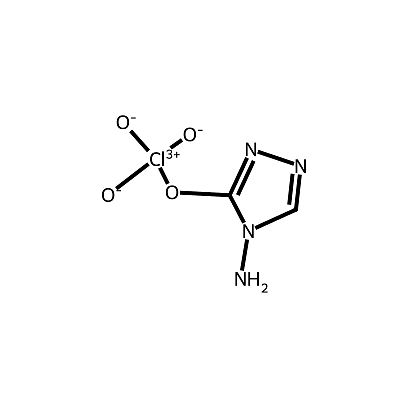 Nn1cnnc1O[Cl+3]([O-])([O-])[O-]